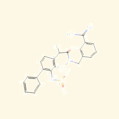 CCC(C(=O)N(Cc1cccc(C(=N)N)c1)OC)c1ccc(-c2ccccc2)c(N[SH](=O)=O)c1